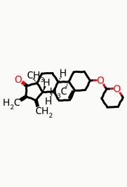 C=C1C(=C)[C@H]2[C@@H]3CC=C4CC(OC5CCCCO5)CC[C@]4(C)[C@@H]3CC[C@]2(C)C1=O